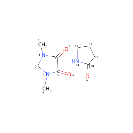 CN1CN(C)C(=O)C1=O.O=C1CCCN1